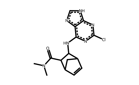 CN(C)C(=O)C1C2C=CC(C2)C1Nc1nc(Cl)nc2[nH]cnc12